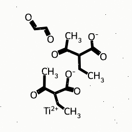 CCC(C(C)=O)C(=O)[O-].CCC(C(C)=O)C(=O)[O-].O=CC=O.[Ti+2]